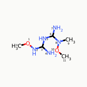 CONC(N)NC(N)N(C)OC